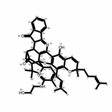 CC(C)=CCCC1(C)C=Cc2c(O)c3c(c(CC=C(C)C)c2O1)OC12C4=C3N=C3c5ccccc5C(=O)C3C4C3CC1C(C)(C)OC2(C/C=C(/C)C(=O)NCCO)C3=O